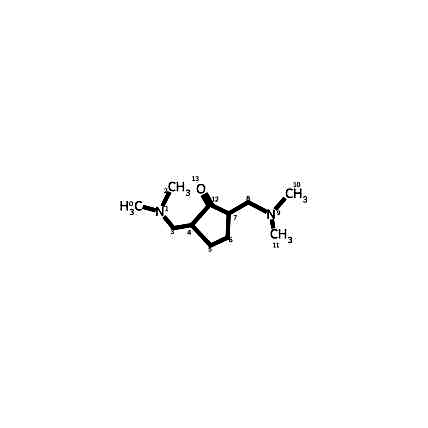 CN(C)CC1CCC(CN(C)C)C1=O